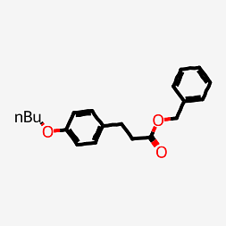 CCCCOc1ccc(CCC(=O)OCc2ccccc2)cc1